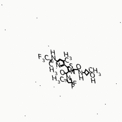 Cc1cc(N[C@@H](C)C(F)(F)F)ncc1-c1sc(C(=O)NC2CC(C)(O)C2)nc1C(=O)N1CC(F)(F)C[C@@H]1C